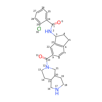 O=C(NC1CCc2ccc(C(=O)N3CCC4CNCCC4C3)cc21)c1ccccc1Cl